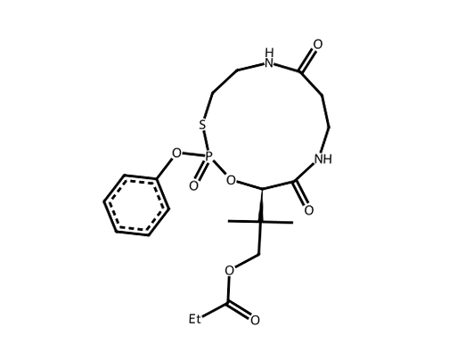 CCC(=O)OCC(C)(C)[C@H]1OP(=O)(Oc2ccccc2)SCCNC(=O)CCNC1=O